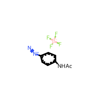 CC(=O)Nc1ccc([N+]#N)cc1.F[B-](F)(F)F